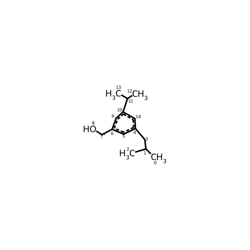 CC(C)Cc1cc([CH]O)cc(C(C)C)c1